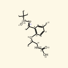 C/C(=N\[S@+]([O-])C(C)(C)C)c1cc(F)ccc1OC(C)CNC(=O)O